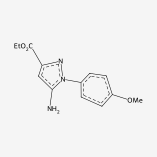 CCOC(=O)c1cc(N)n(-c2ccc(OC)cc2)n1